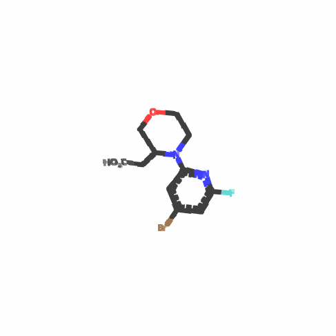 O=C(O)CC1COCCN1c1cc(Br)cc(F)n1